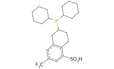 O=S(=O)(O)c1cc(C(F)(F)F)cc2c1CCC(P(C1CCCCC1)C1CCCCC1)C2